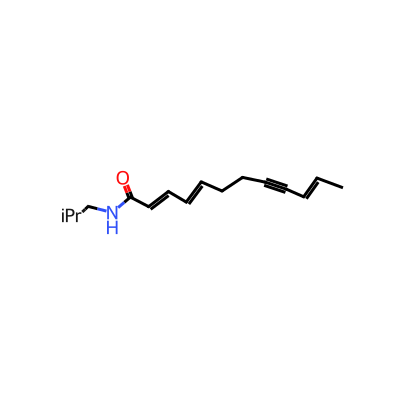 CC=CC#CCCC=CC=CC(=O)NCC(C)C